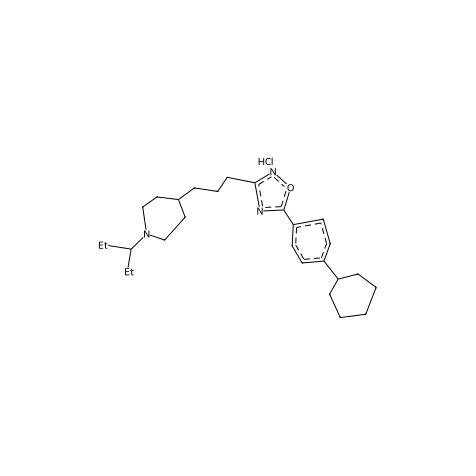 CCC(CC)N1CCC(CCCc2noc(-c3ccc(C4CCCCC4)cc3)n2)CC1.Cl